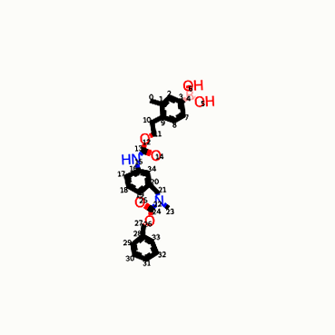 Cc1cc(B(O)O)ccc1CCOC(=O)Nc1cccc(CN(C)C(=O)OCc2ccccc2)c1